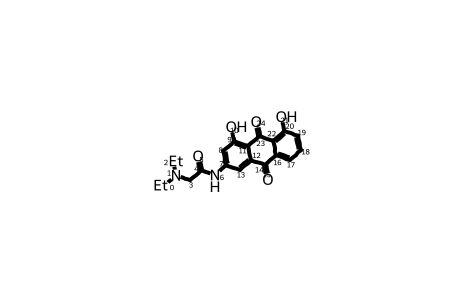 CCN(CC)CC(=O)Nc1cc(O)c2c(c1)C(=O)c1cccc(O)c1C2=O